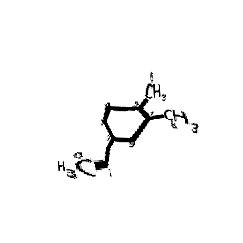 CCC1CCC(C)C(C)C1